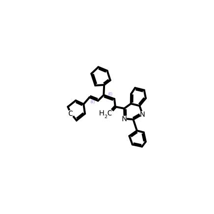 C=C(/C=C(\C=C\C1=CCCC=C1)c1ccccc1)c1nc(-c2ccccc2)nc2ccccc12